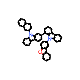 c1ccc2cc(-n3c4ccccc4c4ccc(-c5cccc6c7ccccc7n(-c7ccc8oc9ccccc9c8c7)c56)cc43)ccc2c1